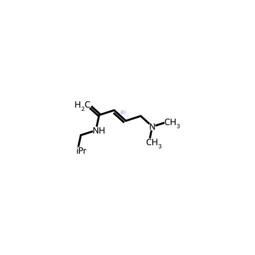 C=C(/C=C/CN(C)C)NCC(C)C